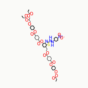 C=CC(=O)OCOc1ccc(OC(=O)C2CCC(C(=O)OCCc3ccc(OC(=O)C4CCC(C(=O)Oc5ccc(OCC(COC(=O)C=C)OC(=O)C=C)cc5)CC4)c4nc(NNc5ccc([N+](=O)[O-])cc5)sc34)CC2)cc1